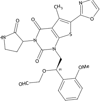 COc1ccccc1[C@H](Cn1c(=O)n(C2CCNC2=O)c(=O)c2c(C)c(-c3ncco3)sc21)OCC=O